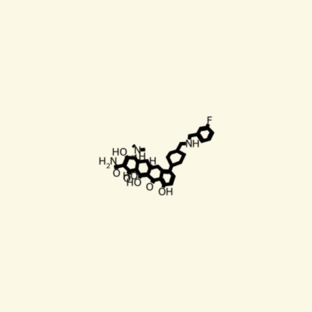 CN(C)[C@H]1C(O)=C(C(N)=O)C(=O)[C@@]2(O)C(O)=C3C(=O)c4c(O)ccc(C5CCC(CNCc6cccc(F)c6)CC5)c4C[C@H]3C[C@@H]12